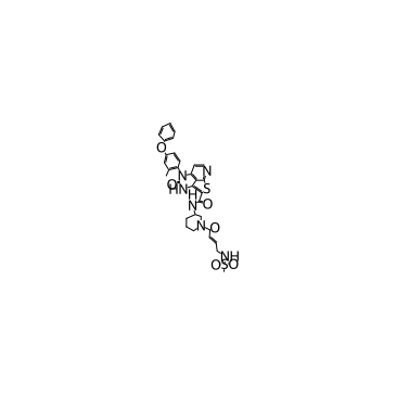 Cc1cc(Oc2ccccc2)ccc1N1C(=O)Nc2c(C(=O)NC3CCCN(C(=O)C=CCNS(C)(=O)=O)C3)sc3nccc1c23